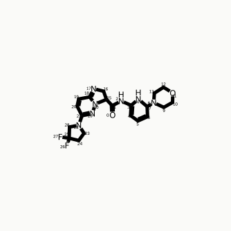 O=C(NC1=CC=CC(N2CCOCC2)N1)C1CN=C2C=CC(N3CCC(F)(F)C3)=NN21